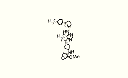 CO[C@H]1COCC[C@H]1NC1CCN(C(=O)c2ncnc(NC[C@H]3CCC[C@H](c4ccc(C)cc4)O3)c2C)CC1